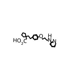 O=C(O)CC1(CCc2ccc(OCCCNc3ccccn3)cc2)CCCC1